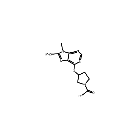 CCC(=O)N1CCC(Oc2ncnc3c2nc(SC)n3C)C1